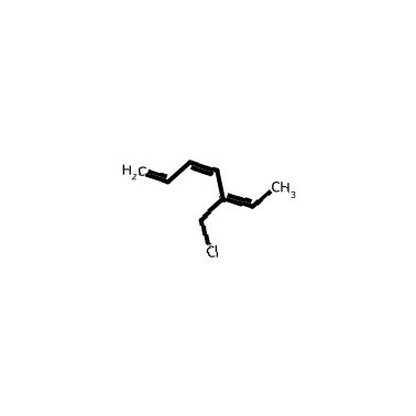 C=C/C=C\C(=C/C)CCl